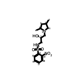 CC1CC(C)N(C[C@@H](O)CNS(=O)(=O)c2ccccc2[N+](=O)[O-])C1